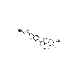 CC(C)Cn1c(=O)c(C#N)cc2cnc(Nc3ccc4c(c3)CCN(C(=O)OC(C)(C)C)C4)nc21